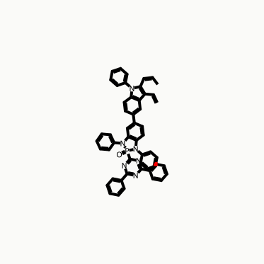 C=Cc1c(/C=C\C)n(-c2ccccc2)c2ccc(-c3ccc4c(c3)N(c3ccccc3)P(=O)(c3nc(-c5ccccc5)nc(-c5ccccc5)n3)N4c3ccccc3)cc12